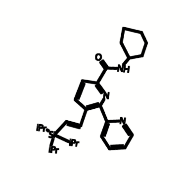 CC(C)[Si](/C=C/c1ccc(C(=O)NC2CCCCC2)nc1-c1ccccn1)(C(C)C)C(C)C